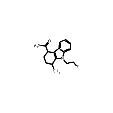 CC1CCC(C(N)=O)c2c1n(CCF)c1ccccc21